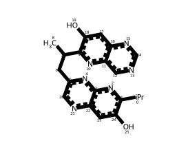 CC(C)c1nc2nc(CC(C)c3nc4cncnc4cc3O)cnc2cc1O